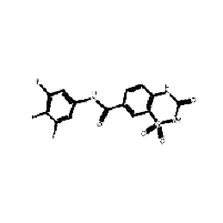 O=C1Nc2ccc(C(=O)Nc3cc(F)c(F)c(F)c3)cc2S(=O)(=O)N1